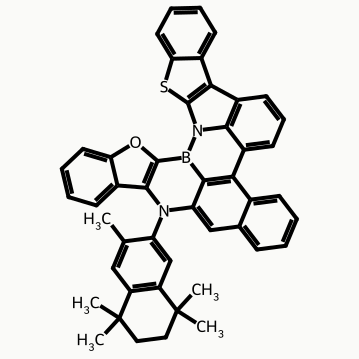 Cc1cc2c(cc1N1c3cc4ccccc4c4c3B(c3oc5ccccc5c31)n1c3sc5ccccc5c3c3cccc-4c31)C(C)(C)CCC2(C)C